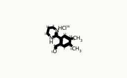 Cc1cc(C=O)c(C2=NCCCN2)cc1C.Cl